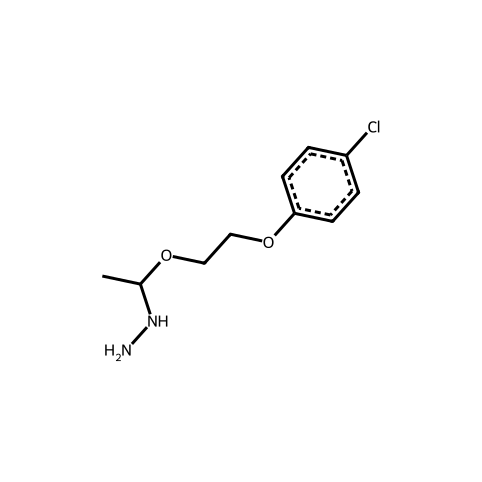 CC(NN)OCCOc1ccc(Cl)cc1